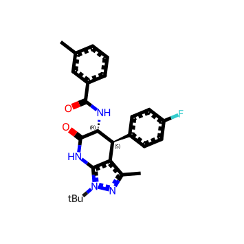 Cc1cccc(C(=O)N[C@H]2C(=O)Nc3c(c(C)nn3C(C)(C)C)[C@@H]2c2ccc(F)cc2)c1